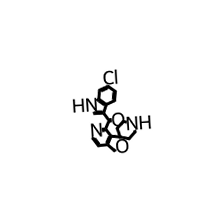 O=C(c1nccc2c1C1(CCNCC1)OC2)c1c[nH]c2cc(Cl)ccc12